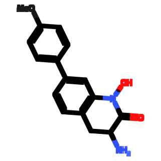 COc1ccc(-c2ccc3c(c2)N(O)C(=O)C(N)C3)cc1